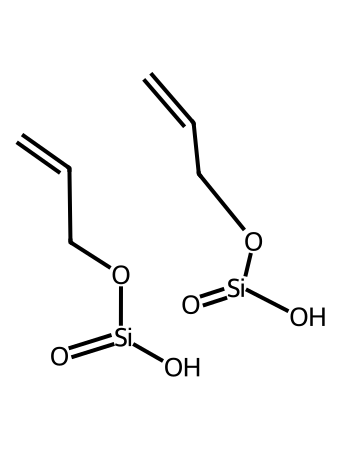 C=CCO[Si](=O)O.C=CCO[Si](=O)O